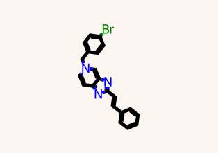 Brc1ccc(Cn2ccc3nc(C=Cc4ccccc4)nc-3c2)cc1